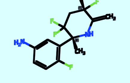 C=C1N[C@](C)(c2cc(N)ccc2F)C(F)(F)C[C@]1(C)F